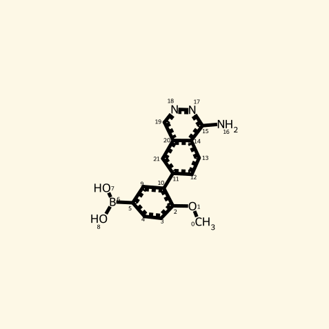 COc1ccc(B(O)O)cc1-c1ccc2c(N)nncc2c1